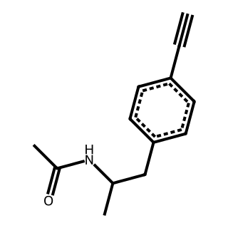 C#Cc1ccc(CC(C)NC(C)=O)cc1